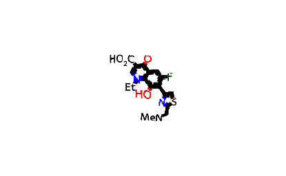 CCn1cc(C(=O)O)c(=O)c2cc(F)c(-c3csc(CNC)n3)c(O)c21